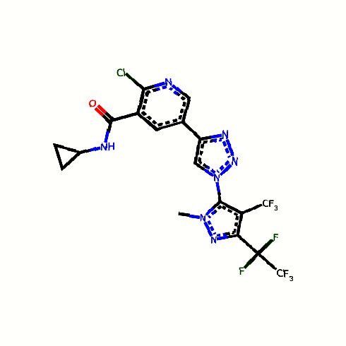 Cn1nc(C(F)(F)C(F)(F)F)c(C(F)(F)F)c1-n1cc(-c2cnc(Cl)c(C(=O)NC3CC3)c2)nn1